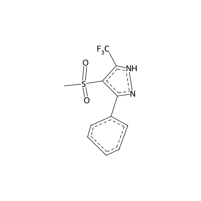 CS(=O)(=O)c1c(-c2ccccc2)n[nH]c1C(F)(F)F